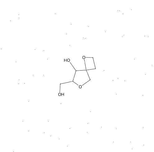 OCC1OCC2(CCO2)C1O